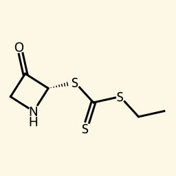 CCSC(=S)S[C@@H]1NCC1=O